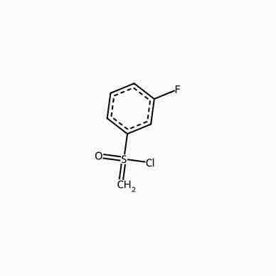 C=S(=O)(Cl)c1cccc(F)c1